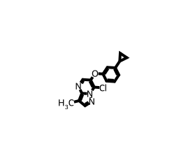 Cc1cnn2c(Cl)c(Oc3cccc(C4CC4)c3)cnc12